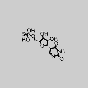 O=C1N=CC([C@@H]2O[C@H](COP(O)(O)=S)C(O)[C@@H]2O)C(=O)N1